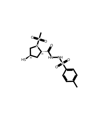 Cc1ccc(S(=O)(=O)NNC(=O)[C@@H]2C[C@@H](S)CN2S(C)(=O)=O)cc1